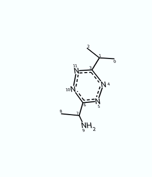 CC(C)c1nnc(C(C)N)nn1